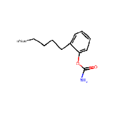 CCCCCCCCCCCCCc1ccccc1OC(N)=O